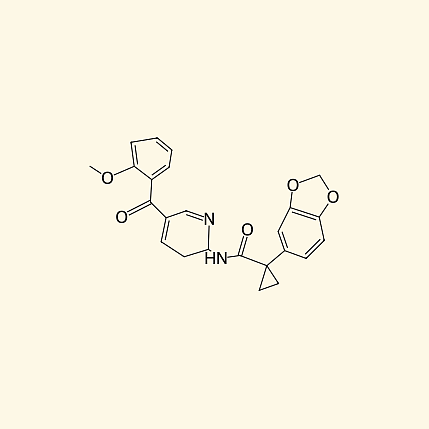 COc1ccccc1C(=O)C1=CCC(NC(=O)C2(c3ccc4c(c3)OCO4)CC2)N=C1